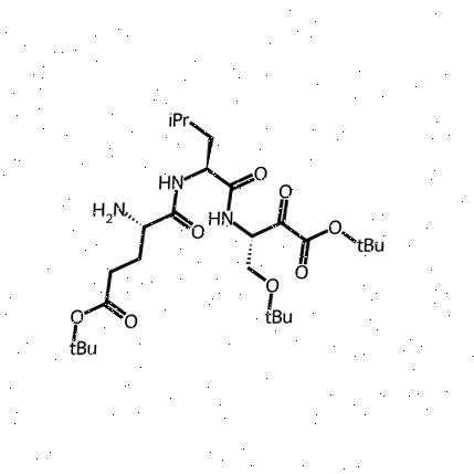 CC(C)C[C@H](NC(=O)[C@@H](N)CCC(=O)OC(C)(C)C)C(=O)N[C@@H](COC(C)(C)C)C(=O)C(=O)OC(C)(C)C